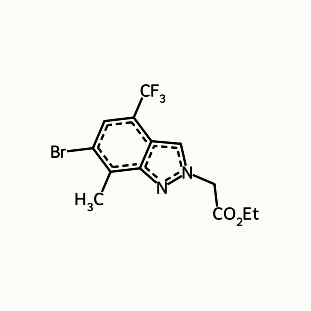 CCOC(=O)Cn1cc2c(C(F)(F)F)cc(Br)c(C)c2n1